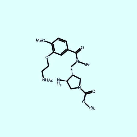 COc1ccc(C(=O)N(C[C@@H]2CN(C(=O)OC(C)(C)C)C[C@H]2N)C(C)C)cc1OCCNC(C)=O